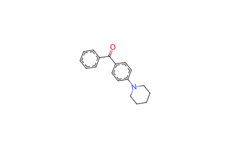 O=C(c1ccccc1)c1ccc(N2CCCCC2)cc1